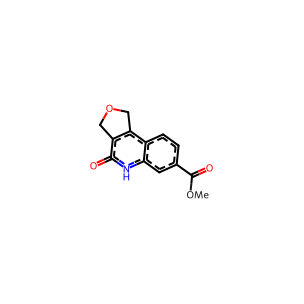 COC(=O)c1ccc2c3c(c(=O)[nH]c2c1)COC3